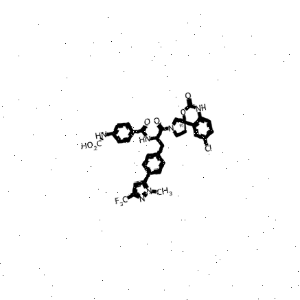 Cn1nc(C(F)(F)F)cc1-c1ccc(CC(NC(=O)c2ccc(NC(=O)O)cc2)C(=O)N2CC[C@@]3(C2)OC(=O)Nc2ccc(Cl)cc23)cc1